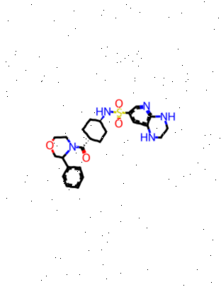 O=C([C@H]1CC[C@H](NS(=O)(=O)c2cnc3c(c2)NCCN3)CC1)N1CCOCC1c1ccccc1